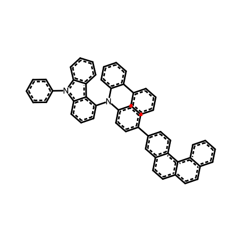 c1ccc(-c2ccccc2N(c2ccc(-c3ccc4c(ccc5ccc6ccccc6c54)c3)cc2)c2cccc3c2c2ccccc2n3-c2ccccc2)cc1